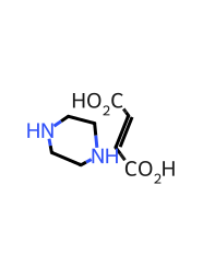 C1CNCCN1.O=C(O)C=CC(=O)O